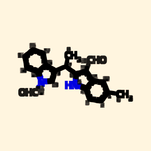 Cc1ccc2[nH]c(C(C)c3cn(C=O)c4ccccc34)c(C=O)c2c1